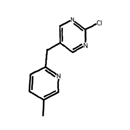 Cc1ccc(Cc2cnc(Cl)nc2)nc1